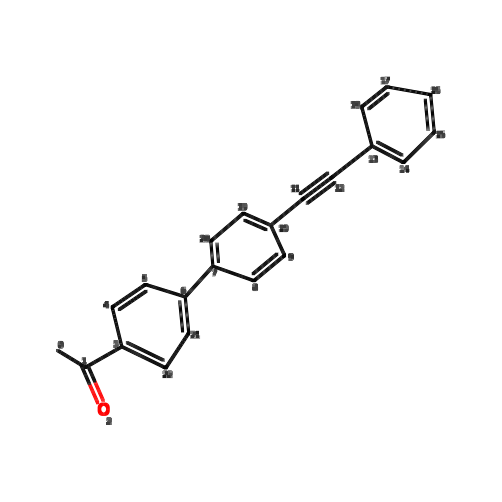 CC(=O)c1ccc(-c2ccc(C#Cc3ccccc3)cc2)cc1